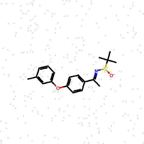 CC(=N[S+]([O-])C(C)(C)C)c1ccc(Oc2cccc(C)c2)cc1